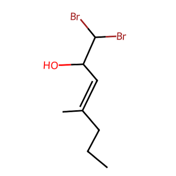 CCC/C(C)=C/C(O)C(Br)Br